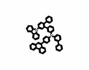 c1ccc(-c2cccc(N(c3ccc(-c4cc5ccccc5c5ccccc45)cc3)c3cccc(-c4cc(-n5c6ccccc6c6ccccc65)ccc4-c4ccccc4)c3)c2)cc1